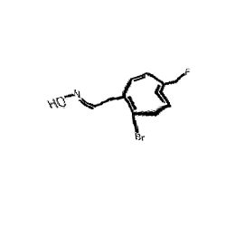 ON=Cc1ccc(F)cc1Br